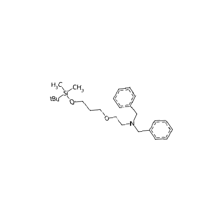 CC(C)(C)[Si](C)(C)OCCCOCCN(Cc1ccccc1)Cc1ccccc1